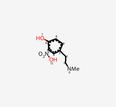 CNCCc1ccc(O)cc1.O=[N+]([O-])O